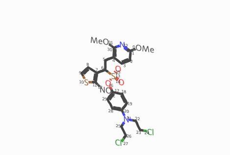 COc1ccc(CC(c2ccsc2[N+](=O)[O-])S(=O)(=O)Oc2ccc(N(CCCl)CCCl)cc2)c(OC)n1